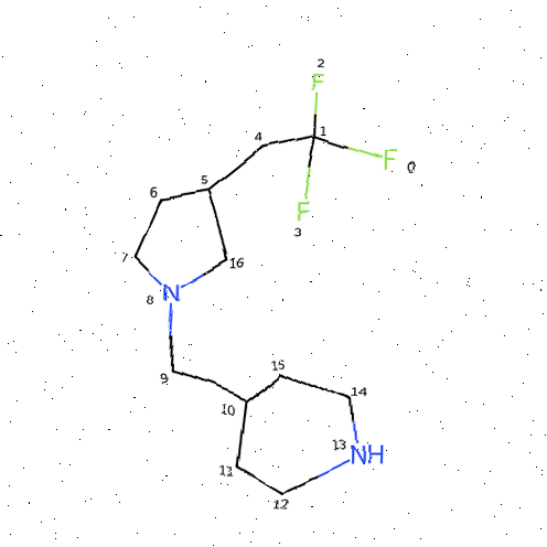 FC(F)(F)CC1CCN(CC2CCNCC2)C1